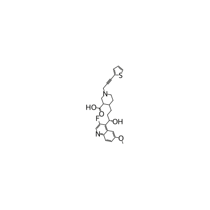 COc1ccc2ncc(F)c([C@H](O)CCC3CCN(CC#Cc4cccs4)CC3C(=O)O)c2c1